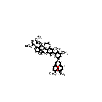 COc1ccc(CN(Cc2ccc(OC)cc2)c2cc(C)c(C(F)(F)F)c(-c3c(Cl)c4c5c(nc(Cl)nc5c3F)N(C(C)c3cccnc3N(C(=O)OC(C)(C)C)C(=O)OC(C)(C)C)CCO4)n2)cc1